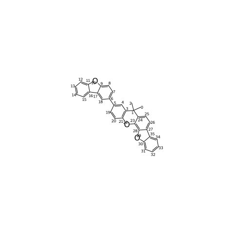 CC1(C)c2cc(-c3ccc4oc5ccccc5c4c3)ccc2Oc2c1ccc1c2oc2ccccc21